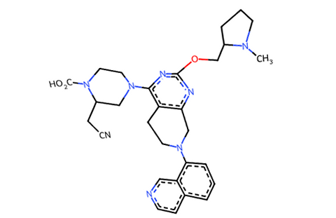 CN1CCCC1COc1nc2c(c(N3CCN(C(=O)O)C(CC#N)C3)n1)CCN(c1cccc3ccncc13)C2